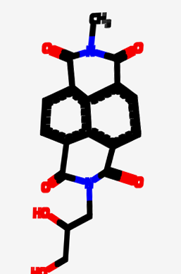 CN1C(=O)c2ccc3c4c(ccc(c24)C1=O)C(=O)N(CC(O)CO)C3=O